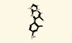 Cc1cc(O)ccc1-c1nc2nccn2cc1C